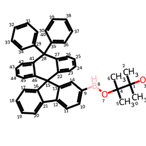 CC(C)(O)C(C)(C)OBc1ccc2c(c1)C1(c3ccccc3-2)c2ccccc2C(c2ccccc2)(c2ccccc2)c2ccccc21